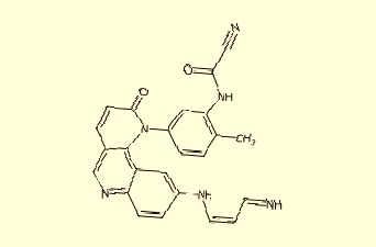 Cc1ccc(-n2c(=O)ccc3cnc4ccc(N/C=C\C=N)cc4c32)cc1NC(=O)C#N